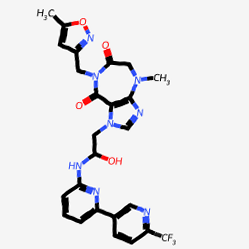 Cc1cc(CN2C(=O)CN(C)c3ncn(CC(O)Nc4cccc(-c5ccc(C(F)(F)F)nc5)n4)c3C2=O)no1